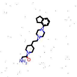 NCC(=O)N1CCC(CCN2CCN(c3cccc4c3CCC4)CC2)CC1